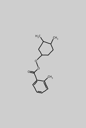 Cc1ccccc1C(=O)OO[C]1CCC(C)C(C)C1